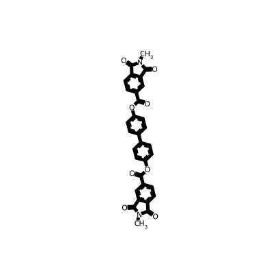 CN1C(=O)c2ccc(C(=O)Oc3ccc(-c4ccc(OC(=O)c5ccc6c(c5)C(=O)N(C)C6=O)cc4)cc3)cc2C1=O